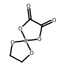 O=C1O[B-]2(OCCO2)OC1=O